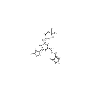 Cc1ccn(-c2cc(OCCn3nncc3C)cc(NC3CCC(F)(F)CC3)n2)n1